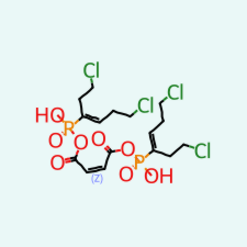 O=C(/C=C\C(=O)OP(=O)(O)C(=CCCCl)CCCl)OP(=O)(O)C(=CCCCl)CCCl